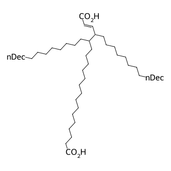 CCCCCCCCCCCCCCCCCCC(C=CC(=O)O)C(CCCCCCCCCCCCCCCCCC)CCCCCCCCCCCCCCC(=O)O